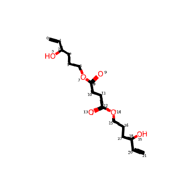 C=CC(O)CCCOC(=O)CCC(=O)OCCCC(O)C=C